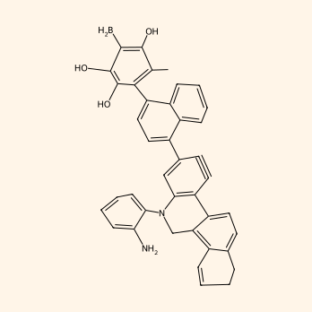 Bc1c(O)c(C)c(-c2ccc(-c3c#cc4c(c3)N(c3ccccc3N)Cc3c-4ccc4c3C=CCC4)c3ccccc23)c(O)c1O